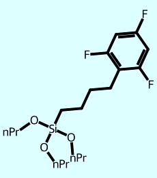 CCCO[Si](CCCCc1c(F)cc(F)cc1F)(OCCC)OCCC